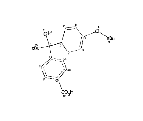 CCCCOC1=CCC(C(O)(c2ccc(C(=O)O)cc2)C(C)(C)C)C=C1